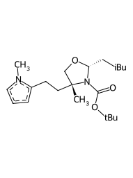 CCC(C)C[C@H]1OC[C@@](C)(CCc2cccn2C)N1C(=O)OC(C)(C)C